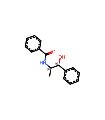 C[C@@H](NC(=O)c1ccccc1)[C@@H](O)c1ccccc1